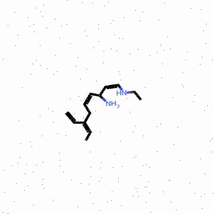 C=C/C(=C\C)C/C=C\C(N)/C=C\NCC